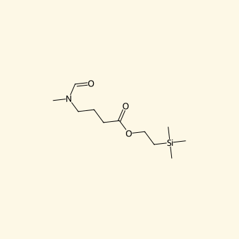 CN(C=O)CCCC(=O)OCC[Si](C)(C)C